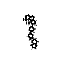 C1=CNC2C(=C1)C=CC1=C2NC(c2ccc(-c3ccc4oc5c6ccccc6ccc5c4c3)cc2)C=C1